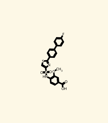 COc1cc(C(=O)O)ccc1NS(=O)(=O)c1csc(-c2ccc(-c3ccc(F)cc3)cc2)n1